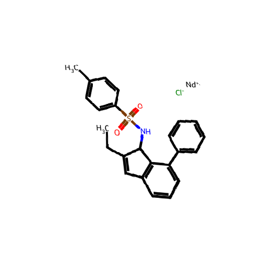 CCC1=Cc2cccc(-c3ccccc3)c2C1NS(=O)(=O)c1ccc(C)cc1.[Cl-].[Nd+]